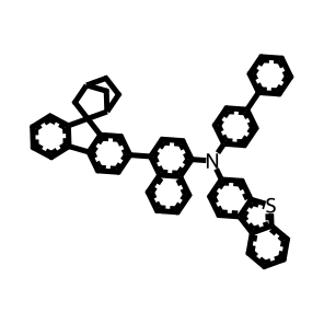 c1ccc(-c2ccc(N(c3ccc4c(c3)sc3ccccc34)c3ccc(-c4ccc5c(c4)C4(CC6CCC4C6)c4ccccc4-5)c4ccccc34)cc2)cc1